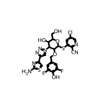 N#Cc1ncc(Cl)cc1SC1OC(CO)C(O)C(n2cc(-c3csc(N)n3)nn2)C1OCc1cc(F)c(O)c(F)c1